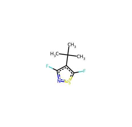 CC(C)(C)c1c(F)nsc1F